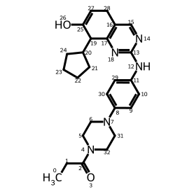 CCC(=O)N1CCN(c2ccc(Nc3ncc4c(n3)C(C3CCCC3)C(O)=CC4)cc2)CC1